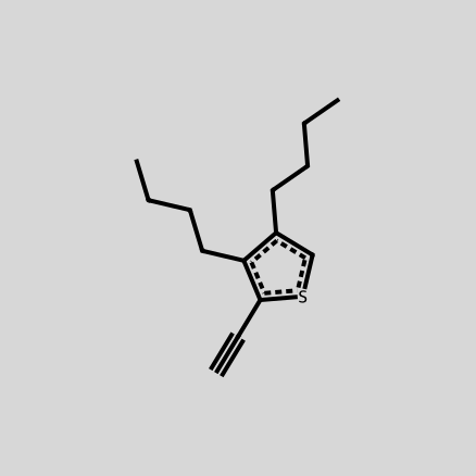 C#Cc1scc(CCCC)c1CCCC